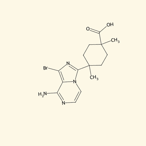 CC1(C(=O)O)CCC(C)(c2nc(Br)c3c(N)nccn23)CC1